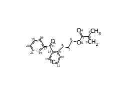 C=C(C)C(=O)OCCCc1ccccc1C(=O)c1ccccc1